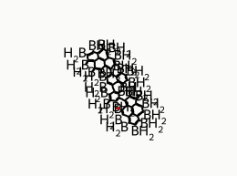 Bc1c(B)c(-c2c(B)c(B)c(-c3c(B)c(B)c4c(B)c(B)c5c(B)c(B)c(B)c6c(B)c(B)c3c4c56)c3c(B)c(B)c(B)c(B)c23)c(B)c(-c2c(B)c(B)c3c(B)c(B)c4c(B)c(B)c(B)c5c(B)c(B)c2c3c45)c1B